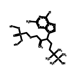 C=C(COCP(=O)(OCCC)OCCC)C(CCC(C)(C)[Si](C)(C)O)n1cnc2c(Cl)nc(N)nc21